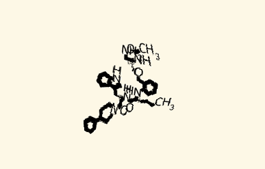 CCCC[C@H](Nc1ccccc1COC[C@H](CN)NC(C)=O)C(=O)N[C@H](Cc1c[nH]c2ccccc12)C(=O)N1CCC(c2ccccc2)CC1